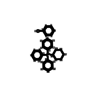 [O-]c1ccccc1.c1ccc([P+](c2ccccc2)(c2ccccc2)C2CCCCC2)cc1